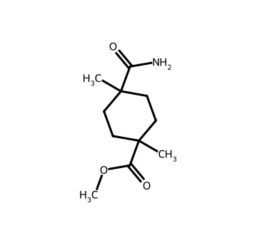 COC(=O)C1(C)CCC(C)(C(N)=O)CC1